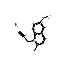 C#CC[n+]1c(C)ccc2cc(OCC)ccc21.[Br-]